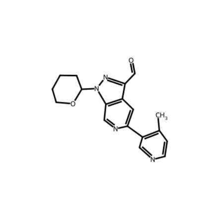 Cc1ccncc1-c1cc2c(C=O)nn(C3CCCCO3)c2cn1